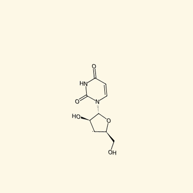 O=c1ccn([C@@H]2O[C@@H](CO)[CH][C@H]2O)c(=O)[nH]1